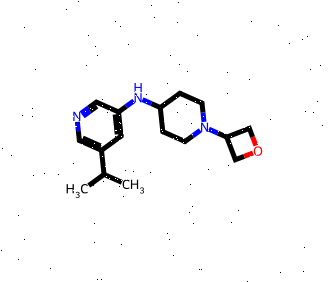 CC(C)c1cncc(NC2CCN(C3COC3)CC2)c1